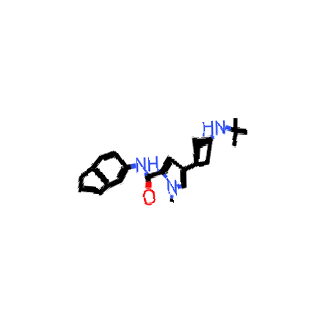 Cn1cc(C23CC(NC(C)(C)C)(C2)C3)cc1C(=O)Nc1ccc2c(c1)C=CC2